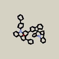 c1ccc(-c2ccc(-c3ccccc3N(c3ccc(-c4ccccc4)cc3)c3cccc(-c4ccc5c(c4)C4(c6ccccc6-5)c5ccccc5-n5c6ccccc6c6cccc4c65)c3)cc2)cc1